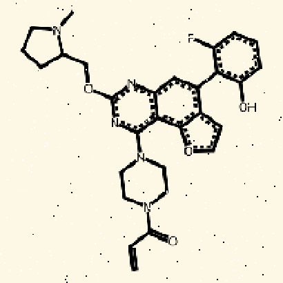 C=CC(=O)N1CCN(c2nc(OCC3CCCN3C)nc3cc(-c4c(O)cccc4F)c4ccoc4c23)CC1